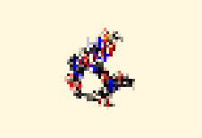 C=C[C@@H]1CC1(NC(=O)[C@@H]1C[C@@H]2CN1C(=O)[C@H](C1CCCCC1)NC(=O)OCC(C)(C)CCCc1cc3c(cc(OC4CCCC4)nc3cc1OC)O2)C(=O)NS(=O)(=O)C1CC1